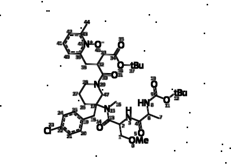 COCC(NC(=O)C(C)NC(=O)OC(C)(C)C)C(=O)N(C)C1(Cc2ccc(Cl)cc2)CCCN(C(=O)C(CC(=O)OC(C)(C)C)Cc2cccc(C)[n+]2[O-])C1